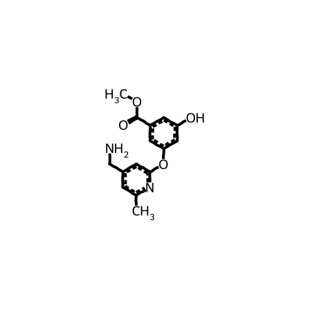 COC(=O)c1cc(O)cc(Oc2cc(CN)cc(C)n2)c1